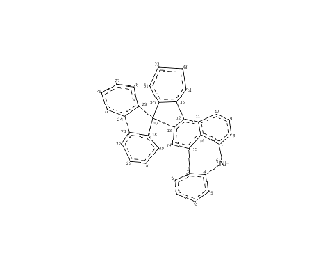 c1ccc2c(c1)Nc1cccc3c4c(cc-2c13)C1(c2ccccc2-c2ccccc21)c1ccccc1-4